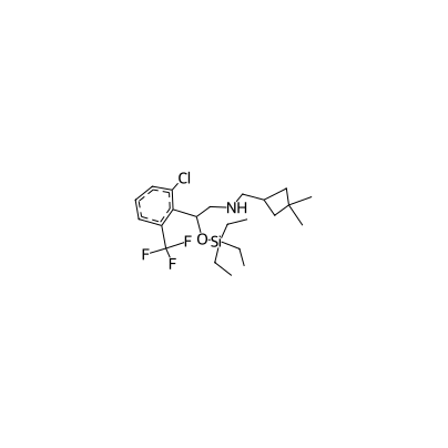 CC[Si](CC)(CC)OC(CNCC1CC(C)(C)C1)c1c(Cl)cccc1C(F)(F)F